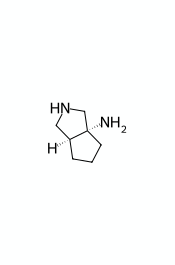 N[C@]12CCC[C@H]1CNC2